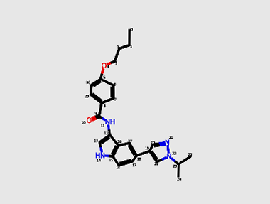 CCCCOc1ccc(C(=O)Nc2c[nH]c3ccc(-c4cnn(C(C)C)c4)cc23)cc1